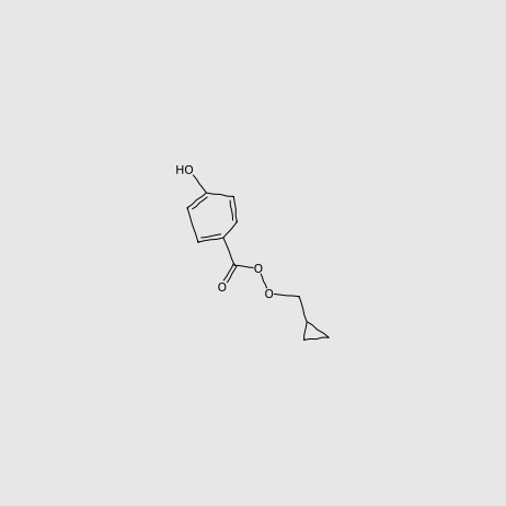 O=C(OOCC1CC1)c1ccc(O)cc1